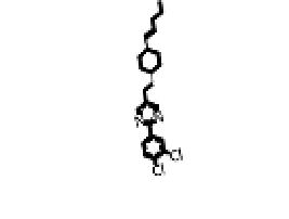 CCCC=C[C@H]1CC[C@H](CCc2cnc(-c3ccc(Cl)c(Cl)c3)nc2)CC1